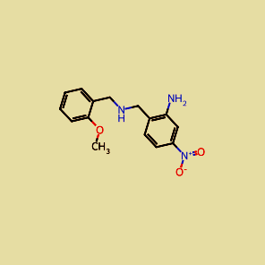 COc1ccccc1CNCc1ccc([N+](=O)[O-])cc1N